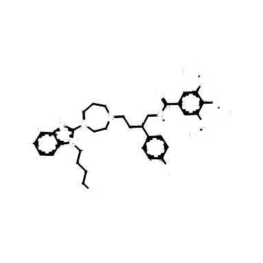 CCCCCn1c(N2CCCN(CCC(CN(C)C(=O)c3cc(OC)c(OC)c(OC)c3)c3ccc(Cl)cc3)CC2)nc2ccccc21